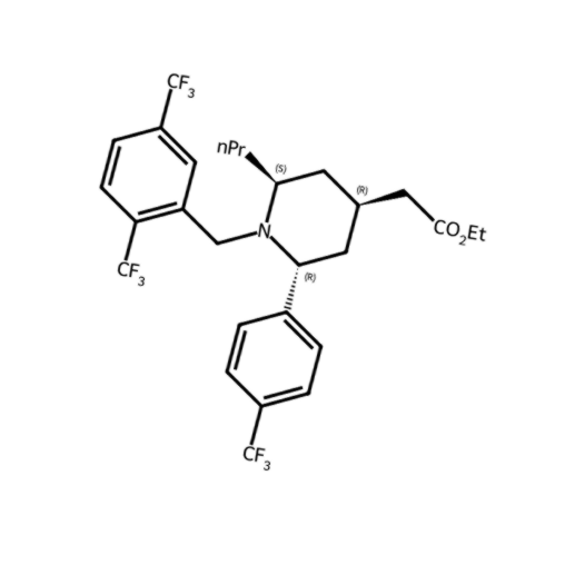 CCC[C@H]1C[C@@H](CC(=O)OCC)C[C@H](c2ccc(C(F)(F)F)cc2)N1Cc1cc(C(F)(F)F)ccc1C(F)(F)F